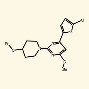 CCOC1CCN(c2nc(OC(C)(C)C)cc(-c3ccc(Cl)s3)n2)CC1